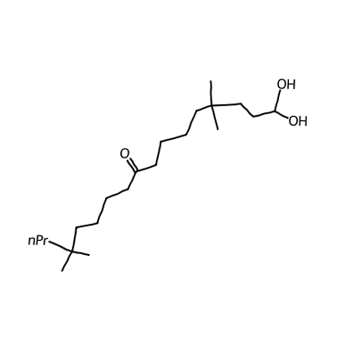 CCCC(C)(C)CCCCC(=O)CCCCC(C)(C)CCC(O)O